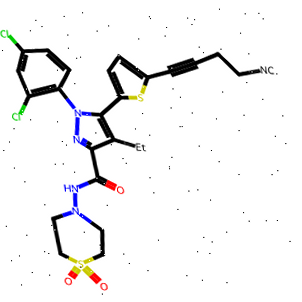 [C-]#[N+]CCC#Cc1ccc(-c2c(CC)c(C(=O)NN3CCS(=O)(=O)CC3)nn2-c2ccc(Cl)cc2Cl)s1